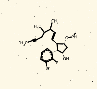 CC#CCC(C)C(C)/C=C/[C@@H]1[C@@H](c2cccc(Br)c2F)[C@@H](O)C[C@H]1OPI